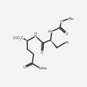 CCOC(=O)[C@H](CCC(=O)NC)NC(=O)[C@H](CC(C)C)NC(=O)OC(C)(C)C